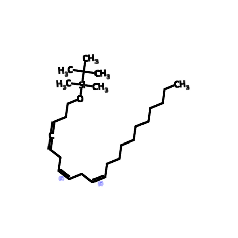 CCCCCCCCCC/C=C\C/C=C\CC=C=CCCO[Si](C)(C)C(C)(C)C